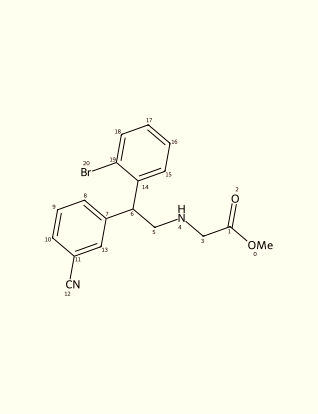 COC(=O)CNCC(c1cccc(C#N)c1)c1ccccc1Br